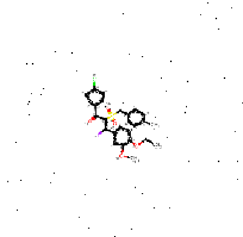 CCOc1ccc(C(I)=C(C(=O)c2ccc(Cl)cc2)S(=O)(=O)Cc2ccc(C)cc2)cc1OC